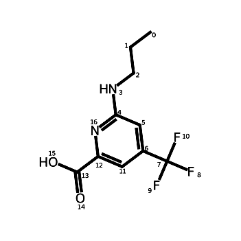 CCCNc1cc(C(F)(F)F)cc(C(=O)O)n1